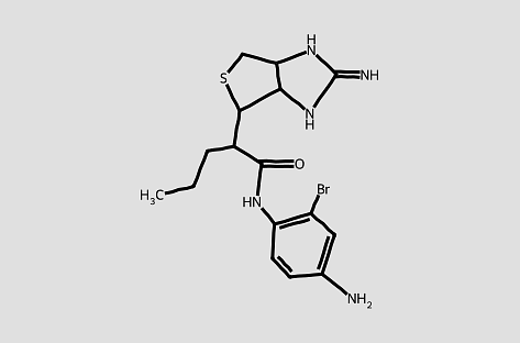 CCCC(C(=O)Nc1ccc(N)cc1Br)C1SCC2NC(=N)NC21